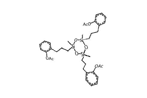 CC(=O)Oc1ccccc1CCC[Si]1(C)O[Si](C)(CCCc2ccccc2OC(C)=O)O[Si](C)(CCCc2ccccc2OC(C)=O)O1